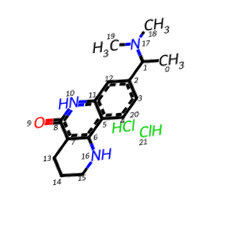 CC(c1ccc2c3c(c(=O)[nH]c2c1)CCCN3)N(C)C.Cl.Cl